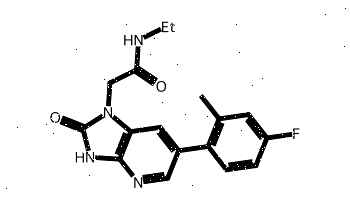 CCNC(=O)Cn1c(=O)[nH]c2ncc(-c3ccc(F)cc3C)cc21